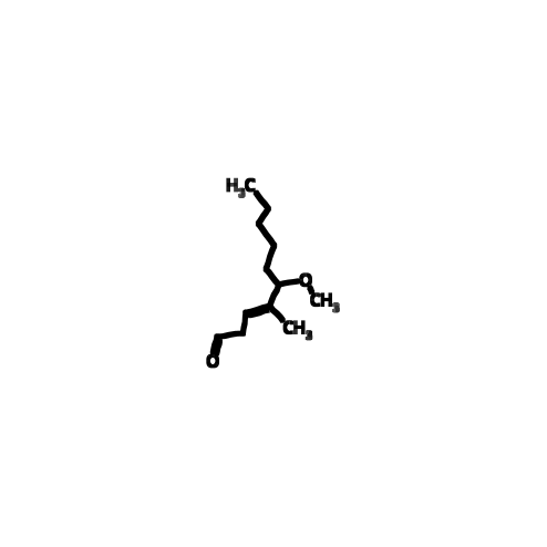 CCCCCC(OC)C(C)=CCC=O